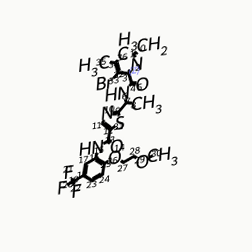 C=C/N=C(/C(=O)NC(C)c1ncc(C(=O)Nc2cc(C(F)(F)F)ccc2OCCOC)s1)C(Br)=C(C)C